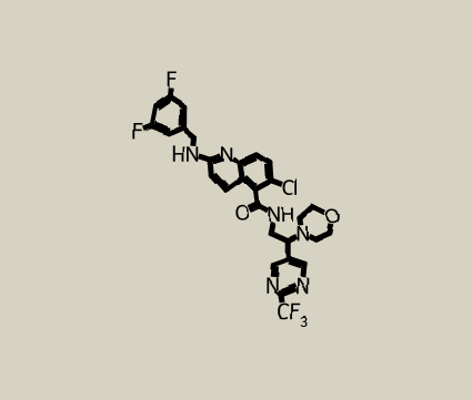 O=C(NCC(c1cnc(C(F)(F)F)nc1)N1CCOCC1)c1c(Cl)ccc2nc(NCc3cc(F)cc(F)c3)ccc12